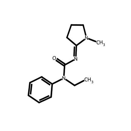 CCN(C(=O)N=C1CCCN1C)c1ccccc1